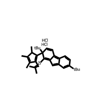 C[C](C)=[Zr][C]1=C2C=c3cc(C(C)(C)C)ccc3=C2C=CC1(C1=C(C)C(C)=C(C)C1C)C(C)(C)C.Cl.Cl